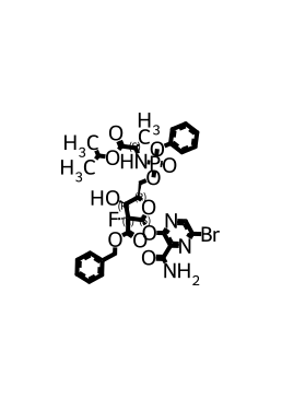 CC(C)OC(=O)[C@H](C)NP(=O)(OC[C@H]1O[C@@H](Oc2ncc(Br)nc2C(N)=O)[C@@](F)(C(=O)OCc2ccccc2)[C@@H]1O)Oc1ccccc1